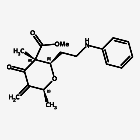 C=C1C(=O)[C@](C)(C(=O)OC)[C@@H](CCNc2ccccc2)O[C@H]1C